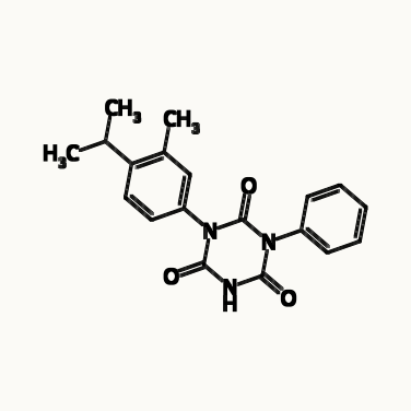 Cc1cc(-n2c(=O)[nH]c(=O)n(-c3ccccc3)c2=O)ccc1C(C)C